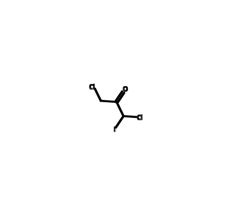 O=C(CCl)C(Cl)I